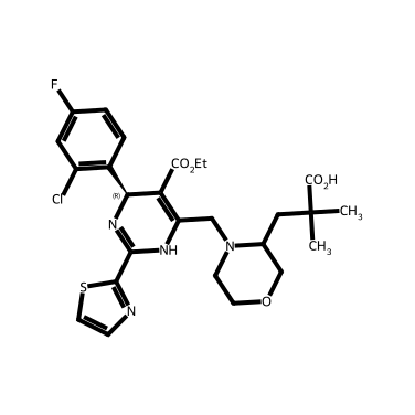 CCOC(=O)C1=C(CN2CCOCC2CC(C)(C)C(=O)O)NC(c2nccs2)=N[C@H]1c1ccc(F)cc1Cl